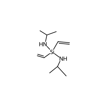 C=C[Si](C=C)(NC(C)C)NC(C)C